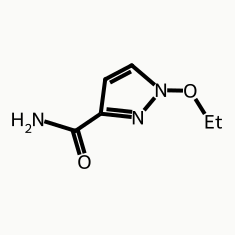 CCOn1ccc(C(N)=O)n1